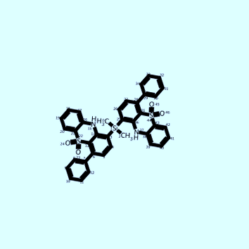 C[Si](C)(c1ccc(-c2ccccc2)c2c1Nc1ccccc1S2(=O)=O)c1ccc(-c2ccccc2)c2c1Nc1ccccc1S2(=O)=O